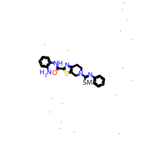 CSC(=Nc1ccccc1)N1CCc2nc(C(=O)Nc3ccccc3N)sc2C1